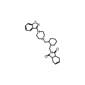 O=C1C2CC=CCC2C(=O)N1CC1CCCCC1CN1CCN(c2nsc3ccccc23)CC1